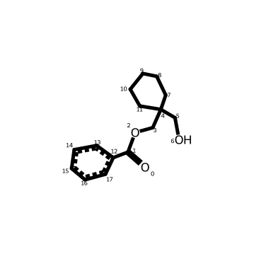 O=C(OCC1(CO)CCCCC1)c1ccccc1